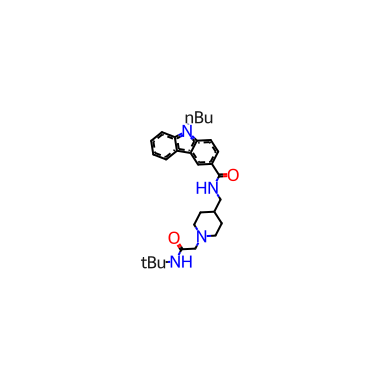 CCCCn1c2ccccc2c2cc(C(=O)NCC3CCN(CC(=O)NC(C)(C)C)CC3)ccc21